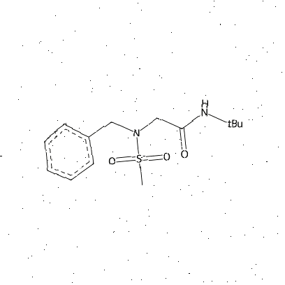 CC(C)(C)NC(=O)CN(Cc1ccccc1)S(C)(=O)=O